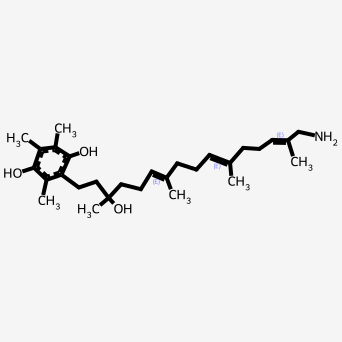 C/C(=C\CC/C(C)=C/CC/C(C)=C/CCC(C)(O)CCc1c(C)c(O)c(C)c(C)c1O)CN